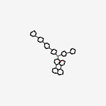 c1ccc(-c2ccc(-c3ccc(-c4ccc(N(c5ccc(-c6ccccc6)cc5)c5ccc(-c6cccc7cccc(-c8ccccc8)c67)cc5)cc4)cc3)cc2)cc1